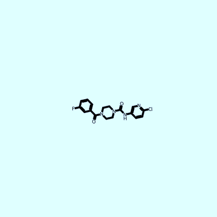 O=C(Nc1ccc(Cl)nc1)N1CCN(C(=O)c2cccc(F)c2)CC1